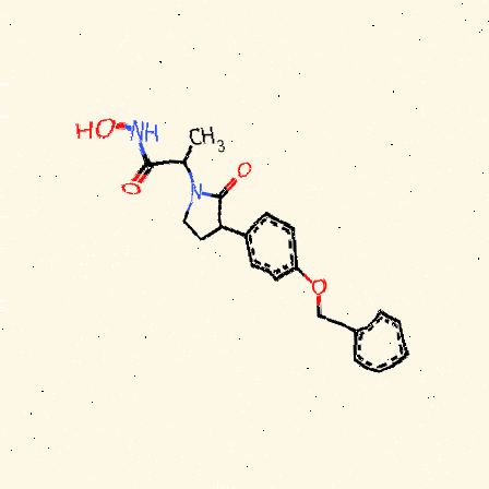 CC(C(=O)NO)N1CCC(c2ccc(OCc3ccccc3)cc2)C1=O